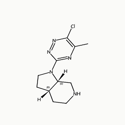 Cc1nc(N2CC[C@H]3CCNC[C@H]32)nnc1Cl